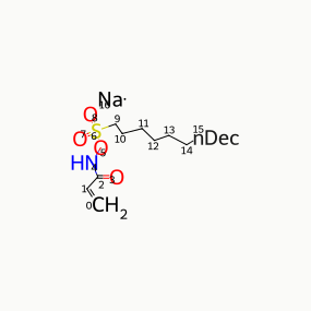 C=CC(=O)NOS(=O)(=O)CCCCCCCCCCCCCCCC.[Na]